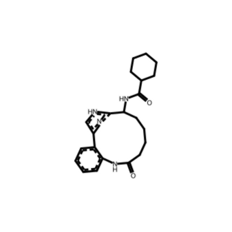 O=C1CCCCC(NC(=O)C2CCCCC2)c2nc(c[nH]2)-c2ccccc2N1